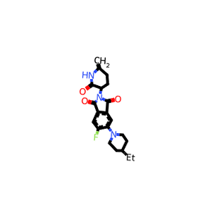 C=C1CCC(N2C(=O)c3cc(F)c(N4CCC(CC)CC4)cc3C2=O)C(=O)N1